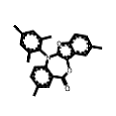 Cc1cc(C)c(N2c3ccc(C)cc3C(=O)Oc3c2oc2ccc(C)cc32)c(C)c1